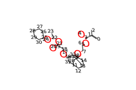 C=C(C)C(=O)OCCOC12CC3CC(C1)CC(OCC(=O)OC(C)OC1CCCCC1)(C3)C2